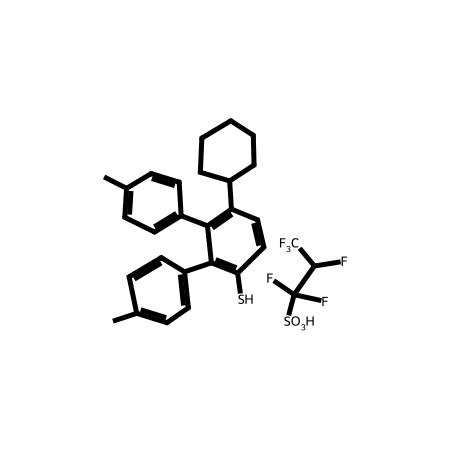 Cc1ccc(-c2c(S)ccc(C3CCCCC3)c2-c2ccc(C)cc2)cc1.O=S(=O)(O)C(F)(F)C(F)C(F)(F)F